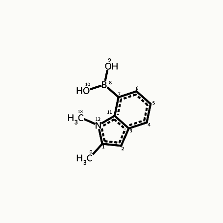 Cc1cc2cccc(B(O)O)c2n1C